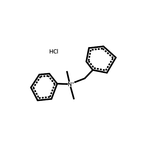 C[N+](C)(Cc1ccccc1)c1ccccc1.Cl